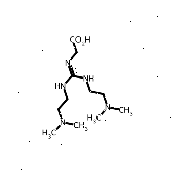 CN(C)CCNC(=NCC(=O)O)NCCN(C)C